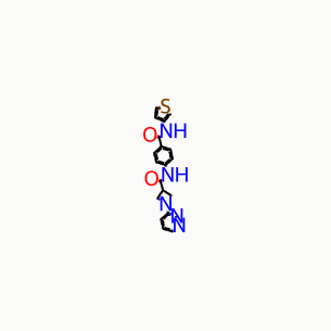 O=C(Nc1ccsc1)c1ccc(NC(=O)C2CN(c3cccnn3)C2)cc1